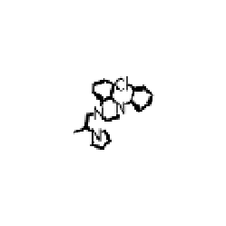 CC(CN1CCN(c2ccccc2Cl)c2ccccc21)N1CCCC1